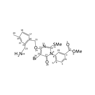 COC(=O)c1ccc(C)c(-n2c(SC)nc(OCc3ccc(C)cc3CN)c(Br)c2=O)c1